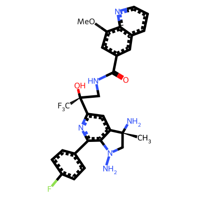 COc1cc(C(=O)NC[C@@](O)(c2cc3c(c(-c4ccc(F)cc4)n2)N(N)C[C@@]3(C)N)C(F)(F)F)cc2cccnc12